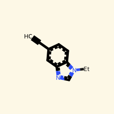 C#Cc1ccc2c(c1)ncn2CC